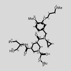 COCCCOc1cc(CN(C(=O)[C@@H]2C[C@H](C(=O)NC(CO)CC(C)C)CN(C(=O)OC(C)(C)C)C2)C2CC2)ccc1OC